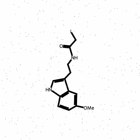 COc1ccc2[nH]cc(CCNC(=O)CI)c2c1